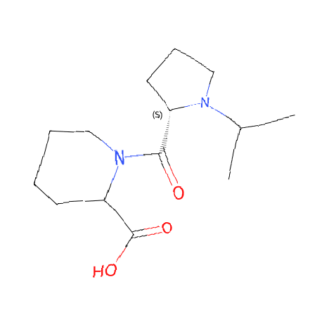 CC(C)N1CCC[C@H]1C(=O)N1CCCCC1C(=O)O